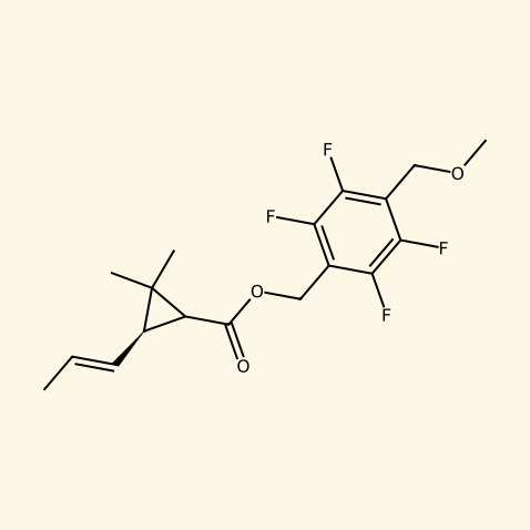 CC=C[C@@H]1C(C(=O)OCc2c(F)c(F)c(COC)c(F)c2F)C1(C)C